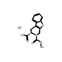 CC(C)(C)OC(=O)N1Cc2sc3ccccc3c2C[C@@H]1C(N)=O.Cl